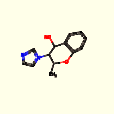 CC1Oc2ccccc2C(O)C1n1ccnc1